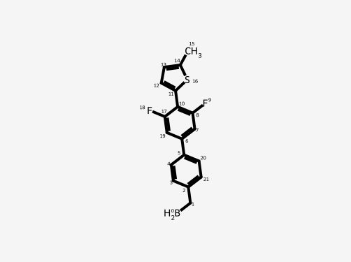 BCc1ccc(-c2cc(F)c(-c3ccc(C)s3)c(F)c2)cc1